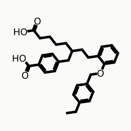 CCc1ccc(COc2ccccc2CCC(CCCCC(=O)O)Cc2ccc(C(=O)O)cc2)cc1